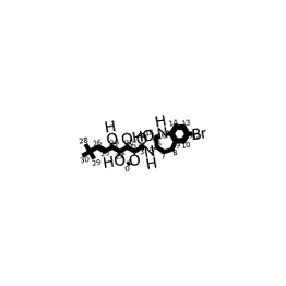 CO[C@@H](C(=O)N[C@H]1CCc2cc(Br)ccc2NC1=O)[C@H](O)[C@@H](O)[C@H](O)/C=C/C(C)(C)C